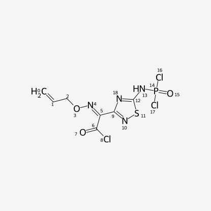 C=CCO/N=C(\C(=O)Cl)c1nsc(NP(=O)(Cl)Cl)n1